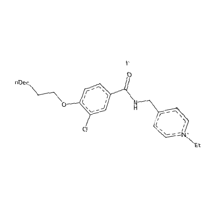 CCCCCCCCCCCCOc1ccc(C(=O)NCc2cc[n+](CC)cc2)cc1Cl.[I-]